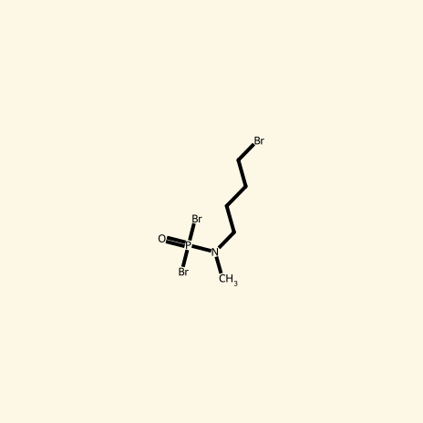 CN(CCCCBr)P(=O)(Br)Br